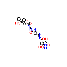 O=C(COc1cccc([C@](O)(C(=O)O)c2ccccc2)c1)NCCNC(=O)c1ccc(CCNC[C@H](O)c2ccc(O)c3[nH]c(=O)ccc23)cc1